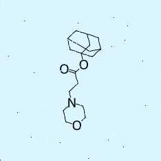 O=C(CCN1CCOCC1)OC12CC3CC(CC(C3)C1)C2